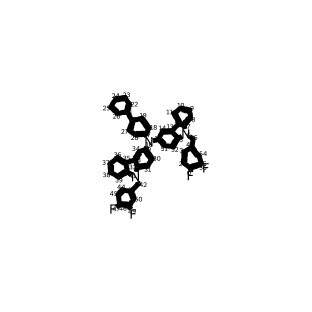 Fc1ccc(Cn2c3ccccc3c3cc(N(c4ccc(-c5ccccc5)cc4)c4ccc5c(c4)c4ccccc4n5Cc4ccc(F)c(F)c4)ccc32)cc1F